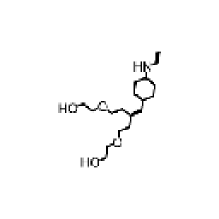 C=CNC1CCC(C=C(CCOCCO)CCOCCO)CC1